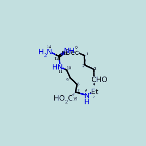 CCCCCCCCCCCCCC=O.CCN[C@@H](CCCNC(=N)N)C(=O)O